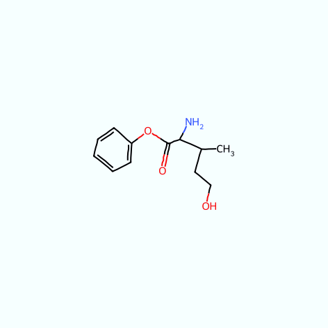 CC(CCO)C(N)C(=O)Oc1ccccc1